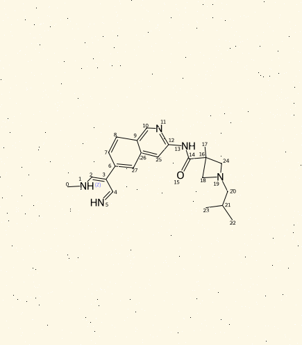 CN/C=C(\C=N)c1ccc2cnc(NC(=O)C3(C)CN(CC(C)C)C3)cc2c1